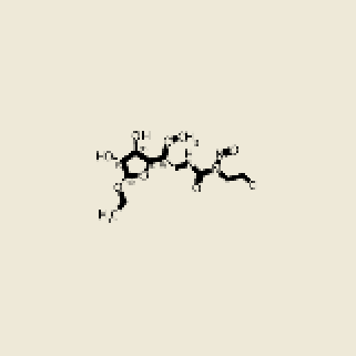 CCO[C@H]1O[C@H]([C@@H](CNC(=O)N(CCCl)N=O)OC)[C@H](O)[C@H]1O